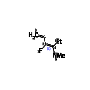 C=C/C(F)=C(\CC)NC